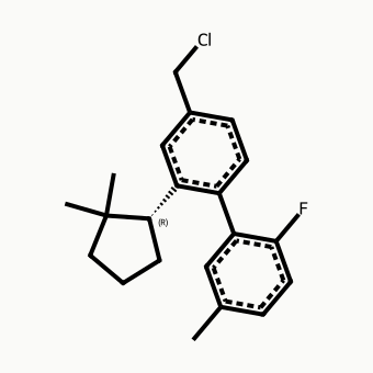 Cc1ccc(F)c(-c2ccc(CCl)cc2[C@@H]2CCCC2(C)C)c1